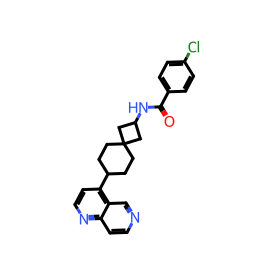 O=C(NC1CC2(CCC(c3ccnc4ccncc34)CC2)C1)c1ccc(Cl)cc1